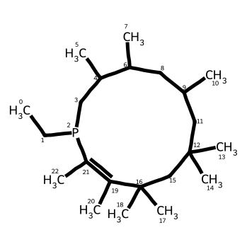 CCP1CC(C)C(C)CC(C)CC(C)(C)CC(C)(C)/C(C)=C\1C